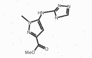 COC(=O)c1cc(NC2=NN=C[N]2)n(C)n1